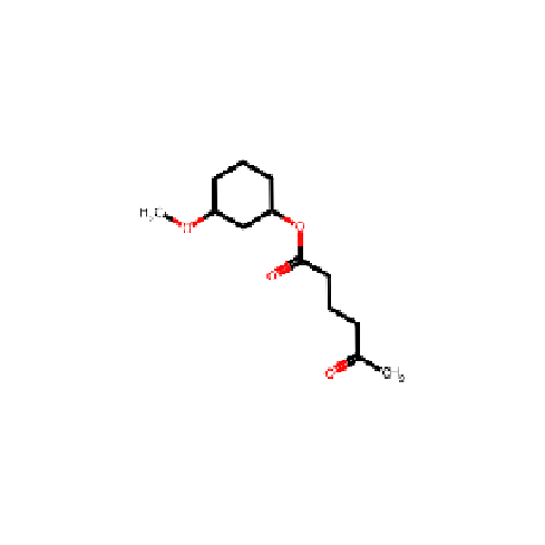 COC1CCCC(OC(=O)CCCC(C)=O)C1